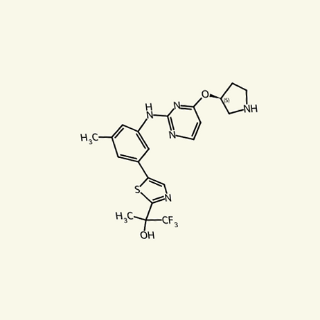 Cc1cc(Nc2nccc(O[C@H]3CCNC3)n2)cc(-c2cnc(C(C)(O)C(F)(F)F)s2)c1